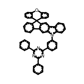 c1ccc(-c2nc(-c3ccccc3)nc(-c3cccc(-n4c5ccccc5c5cc6c(cc54)-c4ccccc4C64c5ccccc5Oc5ccccc54)c3)n2)cc1